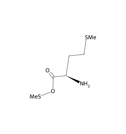 CSCC[C@@H](N)C(=O)OSC